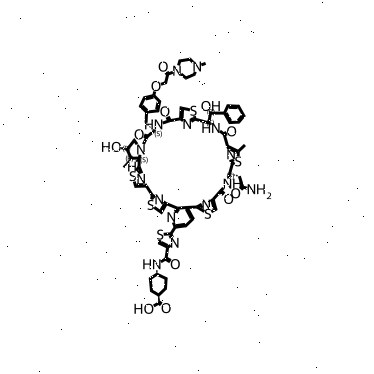 Cc1sc2nc1C(=O)N[C@@H]([C@H](O)c1ccccc1)c1nc(cs1)C(=O)N[C@@H](Cc1ccc(OCC(=O)N3CCN(C)CC3)cc1)C(=O)N1C[C@H](O)[C@H](C)[C@H]1c1nc(cs1)-c1nc(cs1)-c1nc(-c3nc(C(=O)N[C@H]4CC[C@H](C(=O)O)CC4)cs3)ccc1-c1nc(cs1)C(=O)N[C@H]2CC(N)=O